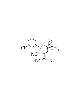 CC1(C)CC(=C(C#N)C#N)C(C#N)=C(N2CCCC(Cl)C2)C1